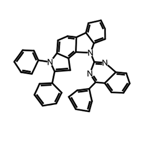 c1ccc(-c2nc(-n3c4ccccc4c4ccc5c(cc(-c6ccccc6)n5-c5ccccc5)c43)nc3ccccc23)cc1